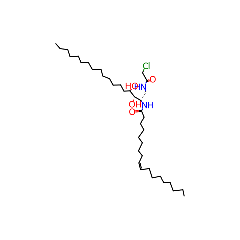 CCCCCCCC/C=C\CCCCCCCC(=O)N[C@@H](CNC(=O)CCl)[C@H](O)[C@H](O)CCCCCCCCCCCCCC